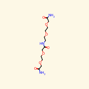 NC(=O)COCCOCCNC(=O)COCCOCC(N)=O